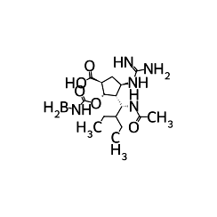 BNC(=O)O[C@H]1[C@@H]([C@H](NC(C)=O)C(CC)CC)[C@H](NC(=N)N)C[C@@H]1C(=O)O